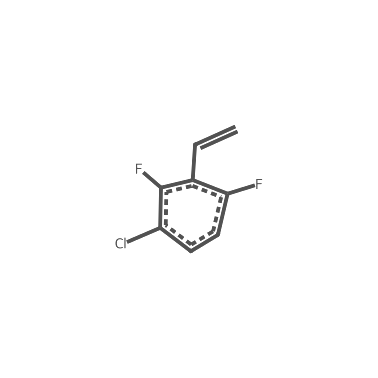 C=Cc1c(F)ccc(Cl)c1F